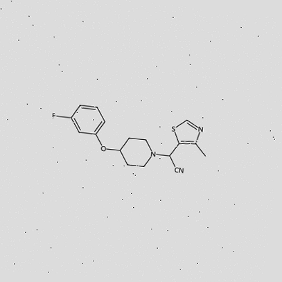 Cc1ncsc1C(C#N)N1CCC(Oc2cccc(F)c2)CC1